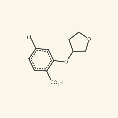 O=C(O)c1ccc(Cl)cc1OC1CCOC1